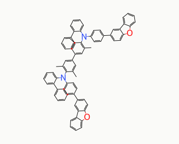 Cc1cc(-c2cc(C)c(N(c3ccc(-c4ccc5oc6ccccc6c5c4)cc3)c3ccccc3-c3ccccc3)c(C)c2)cc(C)c1N(c1ccc(-c2ccc3oc4ccccc4c3c2)cc1)c1ccccc1-c1ccccc1